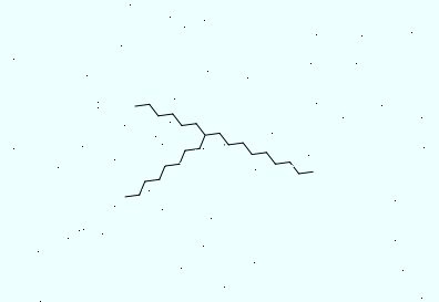 CCCCCCC[CH]CC(CCCCCC)CCCCCCCC